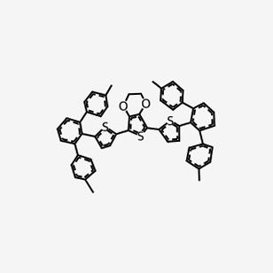 Cc1ccc(-c2cccc(-c3ccc(C)cc3)c2-c2ccc(-c3sc(-c4ccc(-c5c(-c6ccc(C)cc6)cccc5-c5ccc(C)cc5)s4)c4c3OCCO4)s2)cc1